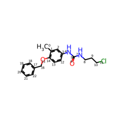 Cc1cc(NC(=O)NCCCCl)ccc1OCc1ccccc1